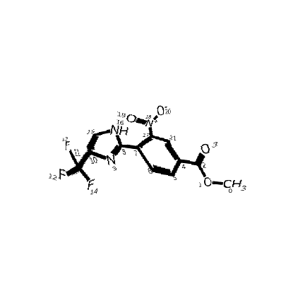 COC(=O)c1ccc(-c2nc(C(F)(F)F)c[nH]2)c([N+](=O)[O-])c1